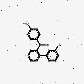 COc1ccc(C(O)c2cnccc2-c2cccc(C#N)c2)cc1